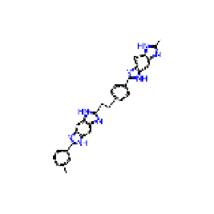 Cc1cccc(-c2nc3cc4[nH]c(CCc5ccc(-c6nc7cc8[nH]c(C)nc8cc7[nH]6)cc5)nc4cc3[nH]2)c1